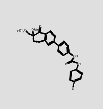 COC1(CC(=O)O)CCc2cc(-c3ccc(NC(=O)Nc4ccc(Cl)cc4)cc3)ccc2C1=O